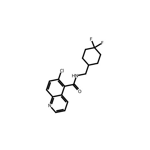 O=C(NCC1CCC(F)(F)CC1)c1c(Cl)ccc2ncccc12